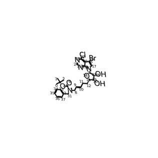 CC(C)(C)OC(=O)N(C/C=C/CC[C@H]1O[C@@H](n2cc(Br)c3c(Cl)ncnc32)[C@H](O)[C@@H]1O)Cc1ccccc1